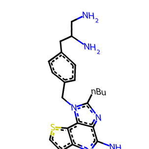 CCCCc1nc2c(N)nc3ccsc3c2n1Cc1ccc(CC(N)CN)cc1